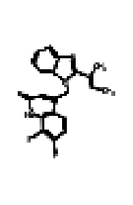 CC=C(C)c1nc2ccccc2n1Cc1cc(=O)[nH]c2c(F)c(F)ccc12